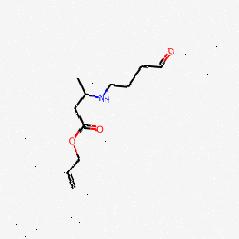 C=CCOC(=O)CC(C)NCCCC=O